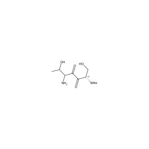 CN[C@@H](CO)C(=O)C(=O)C(N)C(C)O